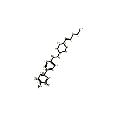 FCCC=CC1CCC(CCc2ccc(-c3cc(F)c(F)c(F)c3)cc2)CC1